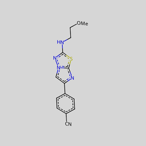 COCCNc1nn2cc(-c3ccc(C#N)cc3)nc2s1